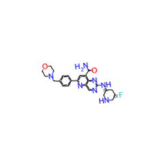 NC(=O)c1cc(-c2ccc(CN3CCOCC3)cc2)nc2cnc(N[C@@H]3CNC[C@@H](F)C3)nc12